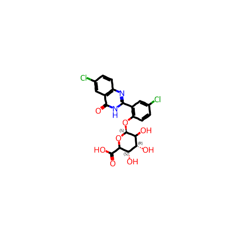 O=C(O)C1O[C@@H](Oc2ccc(Cl)cc2-c2nc3ccc(Cl)cc3c(=O)[nH]2)C(O)[C@H](O)[C@@H]1O